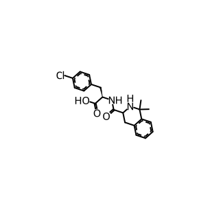 CC1(C)NC(C(=O)N[C@H](Cc2ccc(Cl)cc2)C(=O)O)Cc2ccccc21